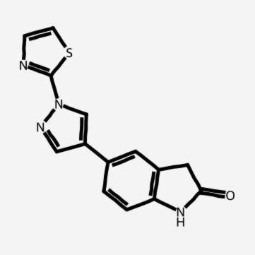 O=C1Cc2cc(-c3cnn(-c4nccs4)c3)ccc2N1